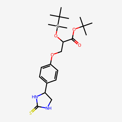 CC(C)(C)OC(=O)C(COc1ccc(C2CNC(=S)N2)cc1)O[Si](C)(C)C(C)(C)C